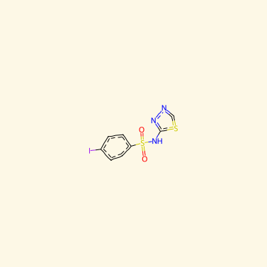 O=S(=O)(Nc1nncs1)c1ccc(I)cc1